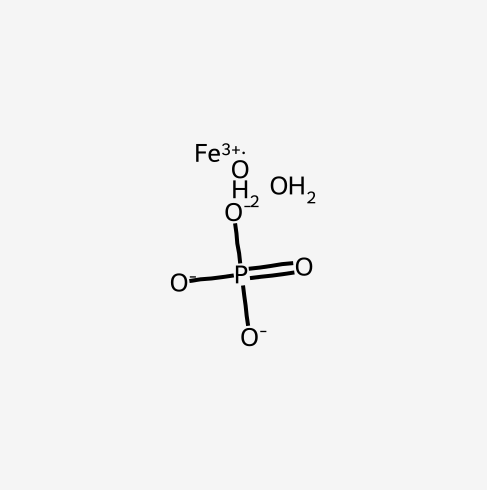 O.O.O=P([O-])([O-])[O-].[Fe+3]